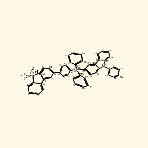 C[Si]1(C)c2ccccc2-c2cc(-c3ccc([Si](c4ccccc4)(c4ccccc4)c4ccc5c(c4)c4ccccc4n5-c4ccccc4)cc3)ccc21